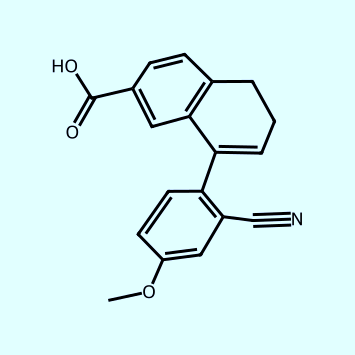 COc1ccc(C2=CCCc3ccc(C(=O)O)cc32)c(C#N)c1